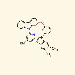 Cc1cc2ncn(-c3cccc(Oc4ccc5c6ccccc6n(-c6cc(C(C)(C)C)ccn6)c5c4)c3)c2cc1C